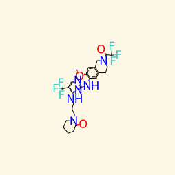 COc1cc2c(cc1Nc1ncc(C(F)(F)F)c(NCCCN3CCCCC3=O)n1)CCN(C(=O)C(F)(F)F)C2